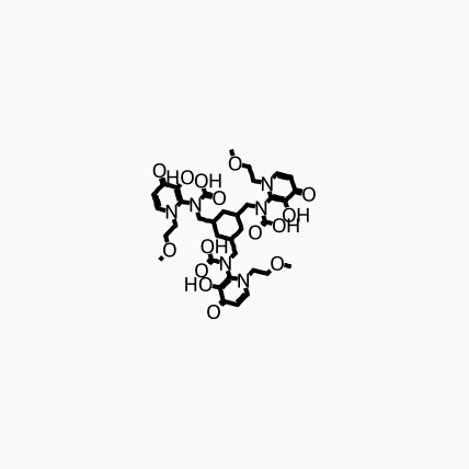 COCCn1ccc(=O)c(O)c1N(CC1CC(CN(C(=O)O)c2c(O)c(=O)ccn2CCOC)CC(CN(C(=O)O)c2c(O)c(=O)ccn2CCOC)C1)C(=O)O